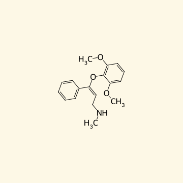 CNCC=C(Oc1c(OC)cccc1OC)c1ccccc1